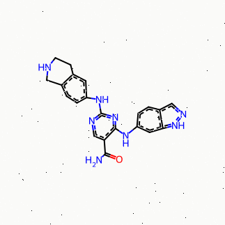 NC(=O)c1cnc(Nc2ccc3c(c2)CCNC3)nc1Nc1ccc2cn[nH]c2c1